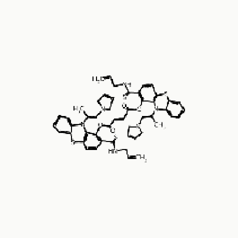 C=CCNC(=S)c1ccc2c(c1OC(=O)/C=C/C(=O)Oc1c(C(=S)NCC=C)ccc3c1N(C(C)CN1CC=CC1)c1ccccc1S3)N(C(C)CN1CC=CC1)c1ccccc1S2